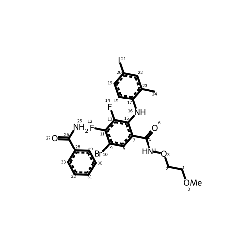 COCCONC(=O)c1cc(Br)c(F)c(F)c1Nc1ccc(I)cc1C.NC(=O)c1ccccc1